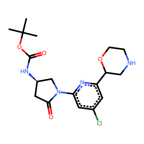 CC(C)(C)OC(=O)N[C@@H]1CC(=O)N(c2cc(Cl)cc(C3CNCCO3)n2)C1